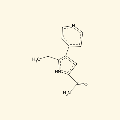 CCc1[nH]c(C(N)=O)cc1-c1ccncc1